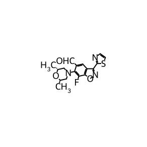 C[C@@H]1CN(c2c(C=O)cc3c(-c4nccs4)noc3c2F)C[C@@H](C)O1